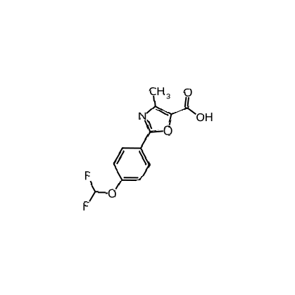 Cc1nc(-c2ccc(OC(F)F)cc2)oc1C(=O)O